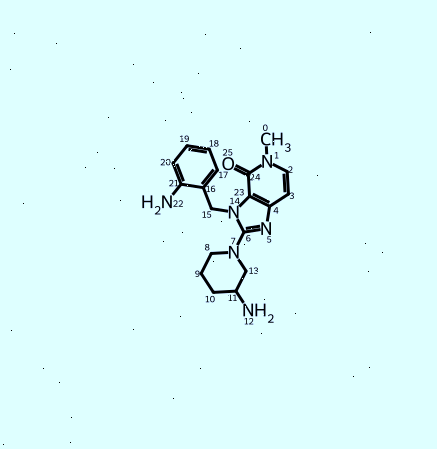 Cn1ccc2nc(N3CCCC(N)C3)n(Cc3ccccc3N)c2c1=O